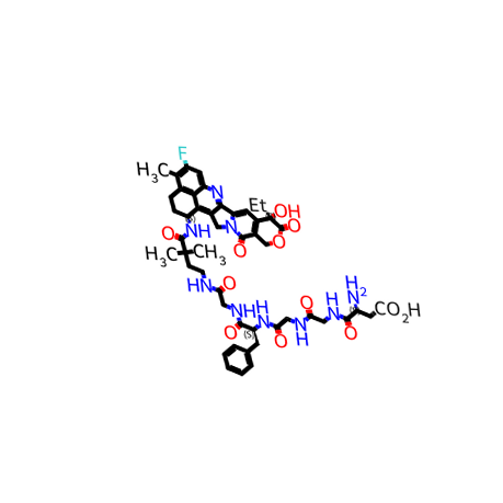 CC[C@@]1(O)C(=O)OCc2c1cc1n(c2=O)Cc2c-1nc1cc(F)c(C)c3c1c2[C@@H](NC(=O)C(C)(C)CCNC(=O)CNC(=O)[C@H](Cc1ccccc1)NC(=O)CNC(=O)CNC(=O)[C@@H](N)CC(=O)O)CC3